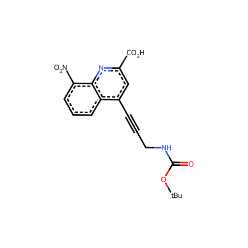 CC(C)(C)OC(=O)NCC#Cc1cc(C(=O)O)nc2c([N+](=O)[O-])cccc12